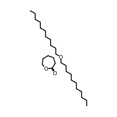 CCCCCCCCCCCOCCCCCCCCCCC.O=C1CCCCCO1